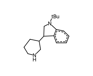 CC(C)(C)N1CC(C2CCCNC2)c2ccccc21